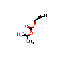 C#CCOC(=O)OC(C)C